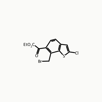 CCOC(=O)C(=O)c1ccc2cc(Cl)sc2c1CBr